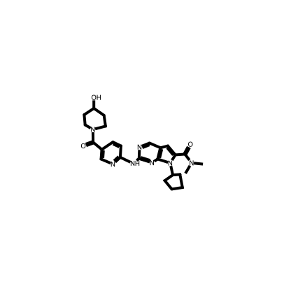 CN(C)C(=O)c1cc2cnc(Nc3ccc(C(=O)N4CCC(O)CC4)cn3)nc2n1C1CCCC1